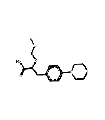 COCOC(Cc1ccc(N2CCOCC2)cc1)C(=O)O